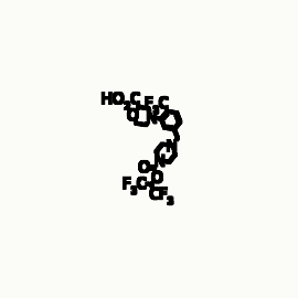 O=C(O)C1CN(c2cc(CN3CCN(C(=O)OC(C(F)(F)F)C(F)(F)F)CC3)ccc2C(F)(F)F)CCO1